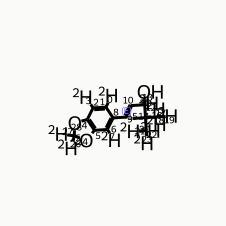 [2H]c1c([2H])c2c(c([2H])c1/C=C/C([2H])(O)C(C)(C([2H])([2H])[2H])C([2H])([2H])[2H])OC([2H])([2H])O2